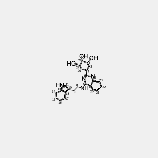 Oc1cc(-c2nc(NCCc3c[nH]c4ccccc34)c3ccccc3n2)cc(O)c1O